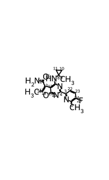 Cc1nc(-c2nc(NC3(C)CC3)c3c(C(N)=O)c(C)oc3n2)ccc1F